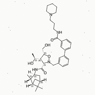 C[C@@H]1[C@@H](NC(=O)[C@@H]2[C@H]([C@H](C)O)[C@H](CO)ON2Cc2cccc(-c3cccc(C(=O)NCCCN4CCCCC4)c3)c2)C[C@H]2C[C@@H]1C2(C)C